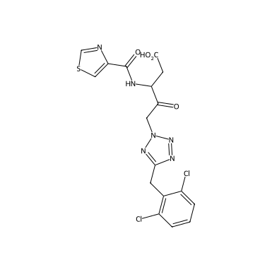 O=C(O)CC(NC(=O)c1cscn1)C(=O)Cn1nnc(Cc2c(Cl)cccc2Cl)n1